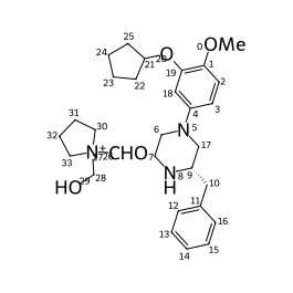 COc1ccc(N2CCN[C@@H](Cc3ccccc3)C2)cc1OC1CCCC1.O=C[N+]1(CO)CCCC1